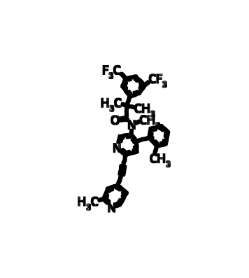 Cc1cc(C#Cc2cc(-c3ccccc3C)c(N(C)C(=O)C(C)(C)c3cc(C(F)(F)F)cc(C(F)(F)F)c3)cn2)ccn1